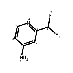 Nc1c[c]nc(C(F)F)c1